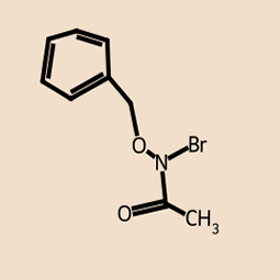 CC(=O)N(Br)OCc1ccccc1